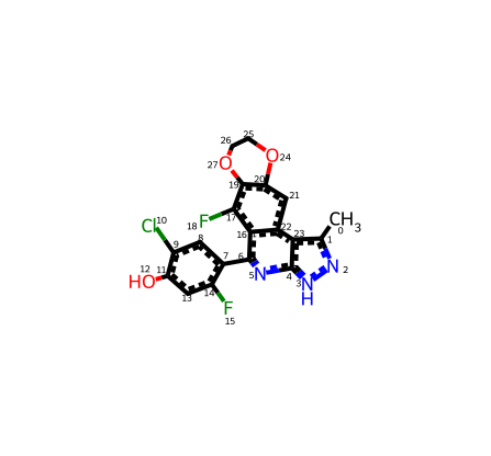 Cc1n[nH]c2nc(-c3cc(Cl)c(O)cc3F)c3c(F)c4c(cc3c12)OCCO4